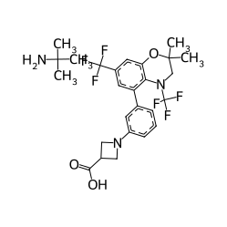 CC(C)(C)N.CC1(C)CN(C(F)(F)F)c2c(cc(C(F)(F)F)cc2-c2cccc(N3CC(C(=O)O)C3)c2)O1